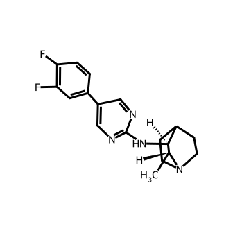 C[C@@H]1[C@@H](Nc2ncc(-c3ccc(F)c(F)c3)cn2)C2CCN1CC2